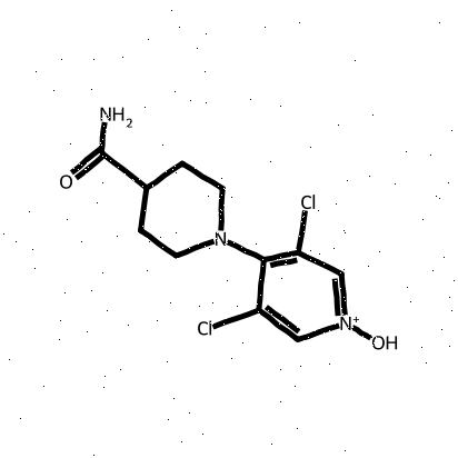 NC(=O)C1CCN(c2c(Cl)c[n+](O)cc2Cl)CC1